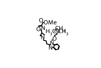 COC(=O)c1coc(C2CN(CCCc3nc4ccccc4n3COCC[Si](C)(C)C)C2)n1